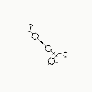 OC(c1ccc(C#Cc2ccc(C(F)(F)C(O)(Cn3cnnn3)c3ccc(F)cc3F)nc2)cc1)C1CC1